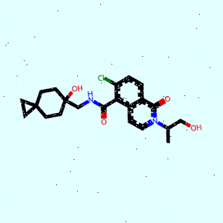 CC(CO)n1ccc2c(C(=O)NCC3(O)CCC4(CC3)CC4)c(Cl)ccc2c1=O